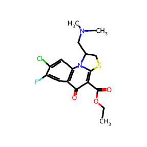 CCOC(=O)c1c2n(c3cc(Cl)c(F)cc3c1=O)C(CN(C)C)CS2